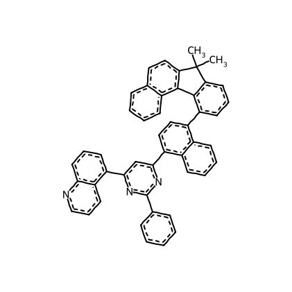 CC1(C)c2cccc(-c3ccc(-c4cc(-c5cccc6ncccc56)nc(-c5ccccc5)n4)c4ccccc34)c2-c2c1ccc1ccccc21